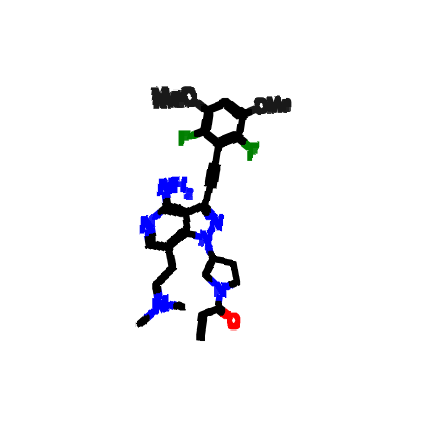 C=CC(=O)N1CC[C@H](n2nc(C#Cc3c(F)c(OC)cc(OC)c3F)c3c(N)ncc(CCN(C)C)c32)C1